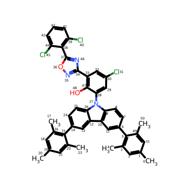 Cc1cc(C)c(-c2ccc3c(c2)c2cc(-c4c(C)cc(C)cc4C)ccc2n3-c2cc(Cl)cc(-c3noc(-c4c(Cl)cccc4Cl)n3)c2O)c(C)c1